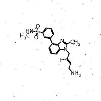 CNS(=O)(=O)c1cccc(-c2cccc3c2nc(C)n3C/C(F)=C/CN)c1